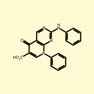 O=C(O)c1cn(-c2ccccc2)c2nc(Nc3ccccc3)ncc2c1=O